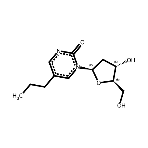 CCCc1cnc(=O)n([C@H]2C[C@H](O)[C@@H](CO)O2)c1